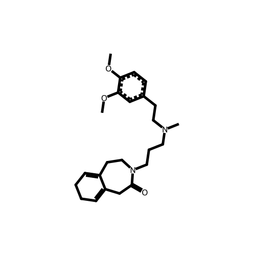 COc1ccc(CCN(C)CCCN2CCC3=CCCC=C3CC2=O)cc1OC